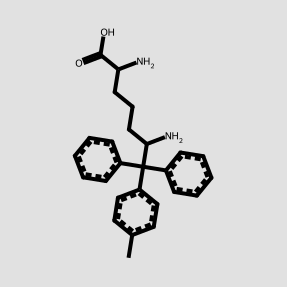 Cc1ccc(C(c2ccccc2)(c2ccccc2)C(N)CCCC(N)C(=O)O)cc1